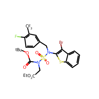 CCOC(=O)CN(C(=O)OC(C)(C)C)S(=O)(=O)N(Cc1ccc(F)c(C(F)(F)F)c1)c1sc2ccccc2c1Br